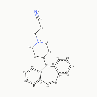 N#CCCN1CCC(C2c3ccccc3C=Cc3ccccc32)CC1